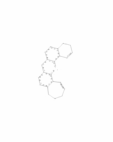 C1=Cc2c(ccc3cc4ccc5c(c4nc23)C=CCC5)CCC1